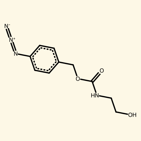 [N-]=[N+]=Nc1ccc(COC(=O)NCCO)cc1